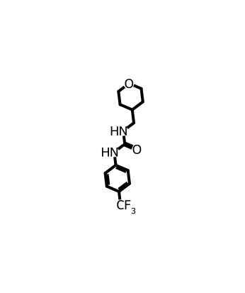 O=C(NCC1CCOCC1)Nc1ccc(C(F)(F)F)cc1